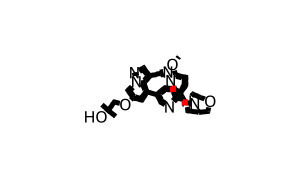 COc1ccc(CN2C3COC2CN(c2ccc(-c4cc(OCC(C)(C)O)cn5ncc(C#N)c45)cn2)C3)cn1